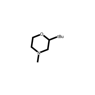 CN1CCOC(C(C)(C)C)C1